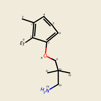 CCc1c(C)cccc1OCC(C)(C)CN